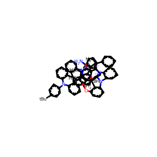 Bc1c(B)c(B)c(C2=C(C)\C=C(/N)N3c4ccccc4C4(c5ccccc5N(c5ccc(C(C)(C)C)cc5)c5ccccc54)c4ccc5c(c43)C3(\C=C\2)c2c(cccc2N2c4ccccc4N(c4c(-c6ccccc6)cccc4-c4ccccc4)C23)O5)c(B)c1B